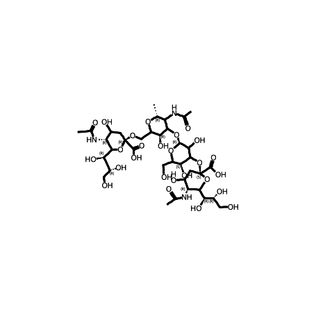 CC(=O)NC1C(O[C@@H]2OC(CO)[C@H](O)C(O[C@]3(C(=O)O)CC(O)[C@@H](NC(C)=O)C([C@H](O)[C@H](O)CO)O3)C2O)[C@@H](O)C(CO[C@]2(C(=O)O)CC(O)[C@@H](NC(C)=O)C([C@H](O)[C@H](O)CO)O2)O[C@@H]1C